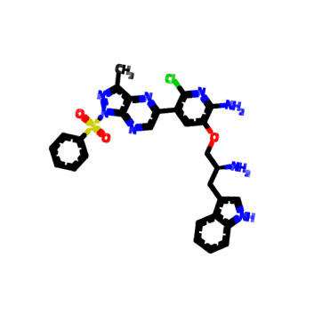 Cc1nn(S(=O)(=O)c2ccccc2)c2ncc(-c3cc(OC[C@@H](N)Cc4c[nH]c5ccccc45)c(N)nc3Cl)nc12